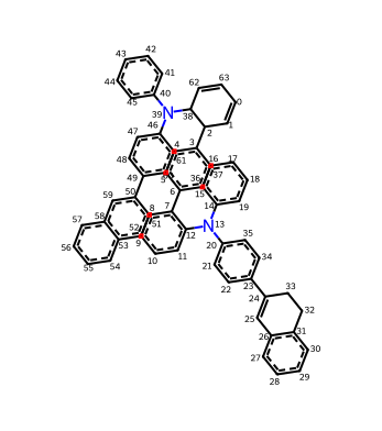 C1=CC(c2ccc(-c3ccccc3N(c3ccccc3)c3ccc(C4=Cc5ccccc5CC4)cc3)cc2)C(N(c2ccccc2)c2ccc(-c3ccc4ccccc4c3)cc2)C=C1